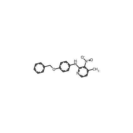 Cc1ccnc(Nc2ccc(OCc3ccccc3)cc2)c1[N+](=O)[O-]